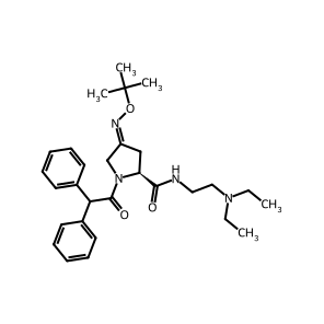 CCN(CC)CCNC(=O)[C@@H]1C/C(=N\OC(C)(C)C)CN1C(=O)C(c1ccccc1)c1ccccc1